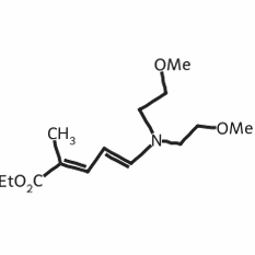 CCOC(=O)/C(C)=C/C=C/N(CCOC)CCOC